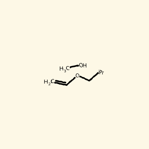 C=COCC(C)C.CO